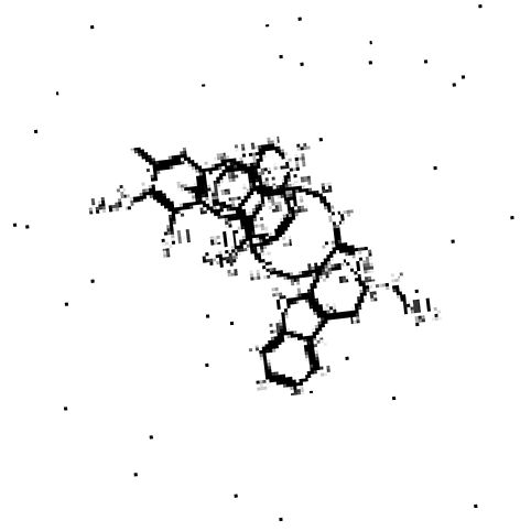 COc1c(C)cc2c(c1O)C1[C@@H]3[C@@H]4SC[C@]5(N[C@H](CN)Cc6c5oc5ccccc65)C(=O)OC[C@@H](c5c6c(c(C)c(OC(C)=O)c54)OCO6)N3C(C)(C2)CN1C